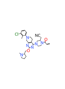 C=CC(=O)N1CCN(c2nc(OCC3CCCN3C)nc3c2CCN(c2cccc(Cl)c2C)C3)CC1CC#N